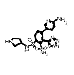 Nc1ccc(-c2ccc(S(=O)(=O)NC3CCNC3)c(S(N)(=O)=O)c2-c2nn[nH]n2)cn1